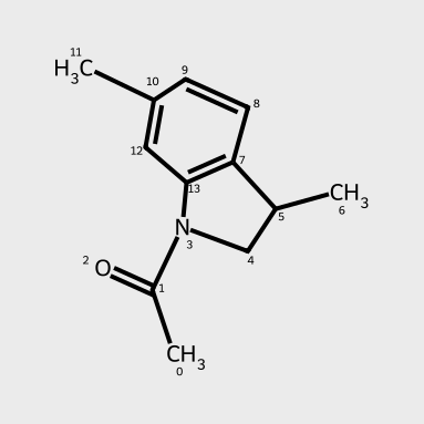 CC(=O)N1CC(C)c2ccc(C)cc21